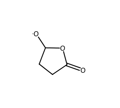 [O]C1CCC(=O)O1